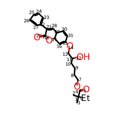 CCC(C)(C)C(=O)OCCCCC(O)COC1=CC2OC(=O)C(c3ccccc3)=CC2C=C1